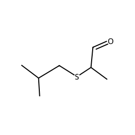 CC(C)CSC(C)C=O